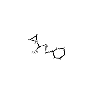 OC(OCC1CCCCC1)N1CC1